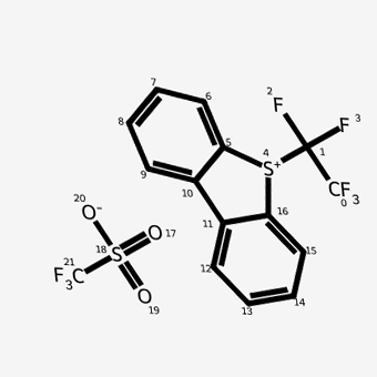 FC(F)(F)C(F)(F)[s+]1c2ccccc2c2ccccc21.O=S(=O)([O-])C(F)(F)F